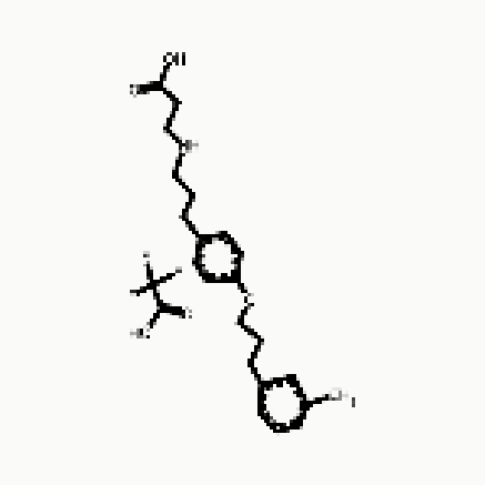 Cc1cccc(CCCOc2ccc(CCCNCCC(=O)O)cc2)c1.O=C(O)C(F)(F)F